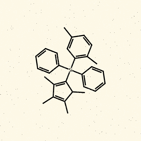 CC1=C(C)C(C)C([Si](c2ccccc2)(c2ccccc2)c2cc(C)ccc2C)=C1C